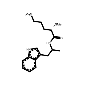 CNCCC[C@H](NC)C(=O)NC(C)Cc1c[nH]c2ccccc12